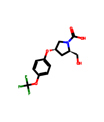 O=C(O)N1C[C@@H](Oc2ccc(OC(F)(F)F)cc2)C[C@H]1CO